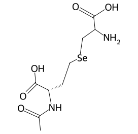 CC(=O)N[C@@H](CC[Se]CC(N)C(=O)O)C(=O)O